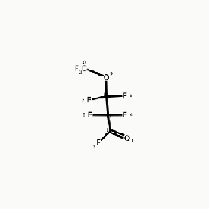 O=C(F)C(F)(F)C(F)(F)OC(F)(F)F